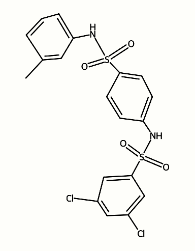 Cc1cccc(NS(=O)(=O)c2ccc(NS(=O)(=O)c3cc(Cl)cc(Cl)c3)cc2)c1